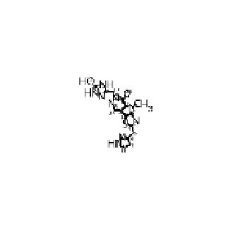 Cn1c2nc(Cc3cc[nH]n3)sc2c2cnn(CC3=NNC(O)N3)c(=O)c21